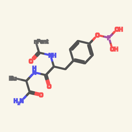 CCCCCC(=O)NC(Cc1ccc(OP(O)O)cc1)C(=O)NC(C(N)=O)C(C)CC